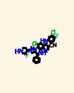 N#Cc1cnc2c(N[C@@H](c3ccccc3)c3cn([C@@H]4CCNC[C@H]4F)nn3)cc(Cl)cc2c1Nc1ccc(F)c(Cl)c1